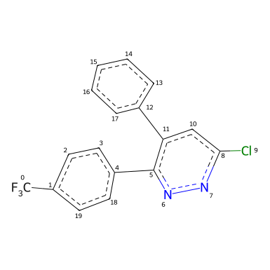 FC(F)(F)c1ccc(-c2nnc(Cl)cc2-c2ccccc2)cc1